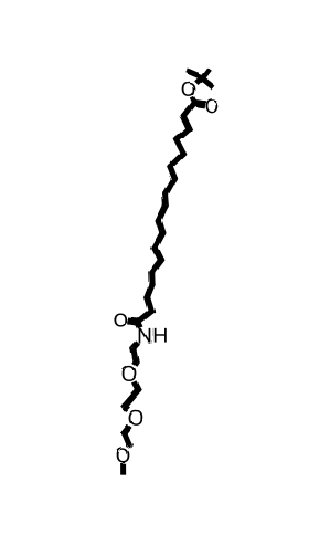 COCCOCCOCCNC(=O)CCCCCCCCCCCCCCCCC(=O)OC(C)(C)C